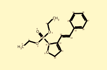 CCOP(=O)(OCC)N1OCC=C1C=Cc1ccccc1